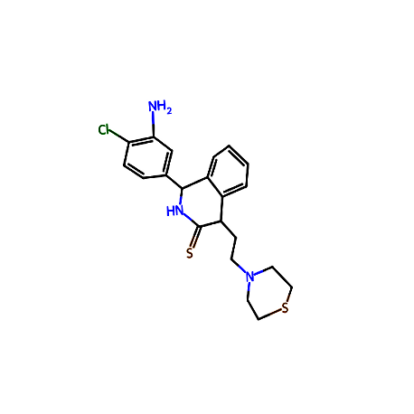 Nc1cc(C2NC(=S)C(CCN3CCSCC3)c3ccccc32)ccc1Cl